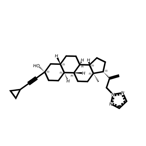 C=C(Cn1nccn1)[C@H]1CC[C@H]2[C@@H]3CC[C@H]4C[C@](O)(C#CC5CC5)CC[C@@H]4[C@H]3CC[C@]12C